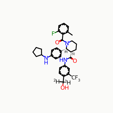 [2H]C([2H])(O)c1ccc(NC(=O)[C@H]2CCCN(C(=O)c3c(C)cccc3F)[C@H]2c2ccc(NC3CCCC3)cc2)cc1C(F)(F)F